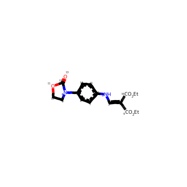 CCOC(=O)C(=CNc1ccc(N2CCOC2=O)cc1)C(=O)OCC